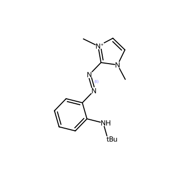 Cn1cc[n+](C)c1/N=N/c1ccccc1NC(C)(C)C